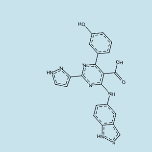 O=C(O)c1c(Nc2ccc3[nH]ncc3c2)nc(-c2cc[nH]n2)nc1-c1cccc(O)c1